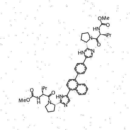 COC(=O)N[C@H](C(=O)N1CCC[C@H]1c1ncc(-c2ccc(-c3ccc(-c4cnc([C@@H]5CCCN5C(=O)[C@@H](NC(=O)OC)C(C)C)[nH]4)c4ccccc34)cc2)[nH]1)C(C)C